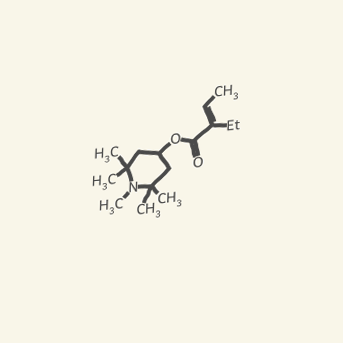 CC=C(CC)C(=O)OC1CC(C)(C)N(C)C(C)(C)C1